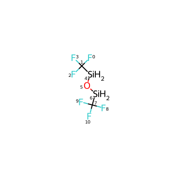 FC(F)(F)[SiH2]O[SiH2]C(F)(F)F